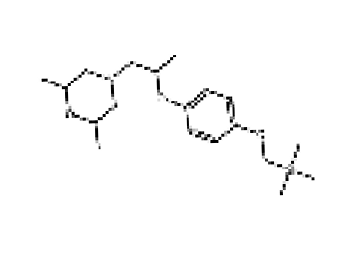 CC(CN1CC(C)OC(C)C1)Oc1ccc(OC[Si](C)(C)C)cc1